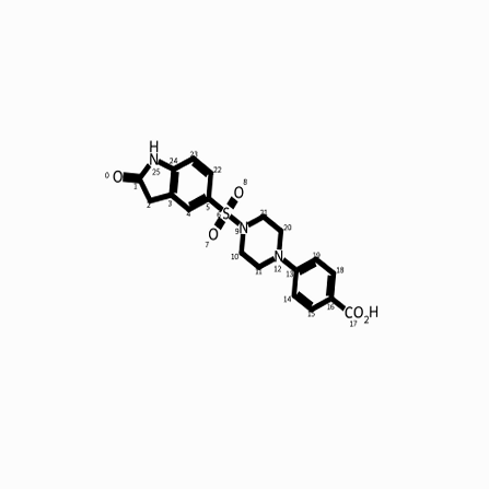 O=C1Cc2cc(S(=O)(=O)N3CCN(c4ccc(C(=O)O)cc4)CC3)ccc2N1